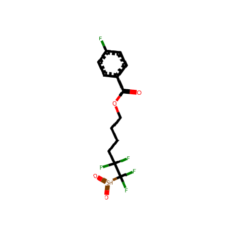 O=C(OCCCCC(F)(F)C(F)(F)[SH](=O)=O)c1ccc(F)cc1